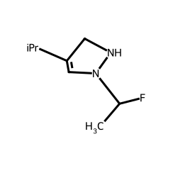 CC(C)C1=CN(C(C)F)NC1